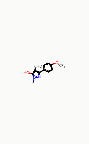 Cn1nc(-c2ccc(OC(F)(F)F)cc2)c(C=O)c1O